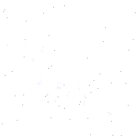 O=C(Cc1cccc2ccccc12)NC(NC(=S)Nc1ccc([N+](=O)[O-])cc1)C(Cl)(Cl)Cl